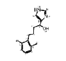 Cc1cccc(C)c1CCCC(O)c1c[nH]cn1